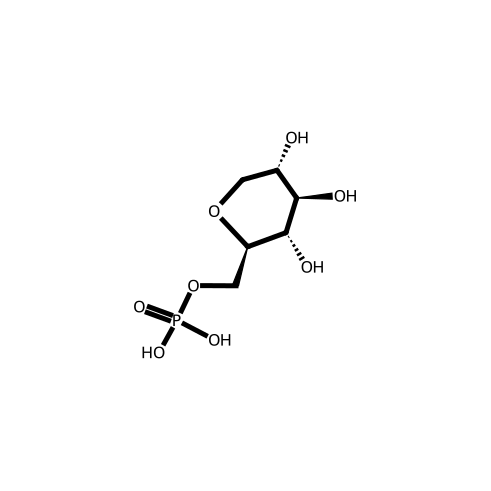 O=P(O)(O)OC[C@H]1OC[C@H](O)[C@@H](O)[C@@H]1O